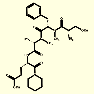 CC(C)COC[C@H](N)C(=O)N(C)[C@@H](Cc1ccccc1)C(=O)N(C)[C@H](C(=O)N[C@@H](CCC(=O)OCC(C)C)C(=O)N1CCCCC1)C(C)C